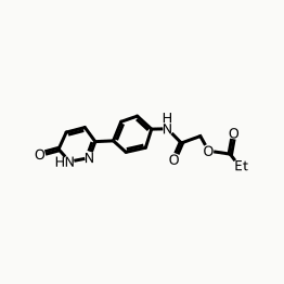 CCC(=O)OCC(=O)Nc1ccc(-c2ccc(=O)[nH]n2)cc1